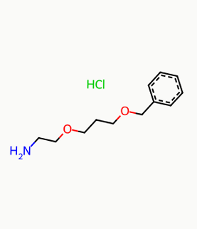 Cl.NCCOCCCOCc1ccccc1